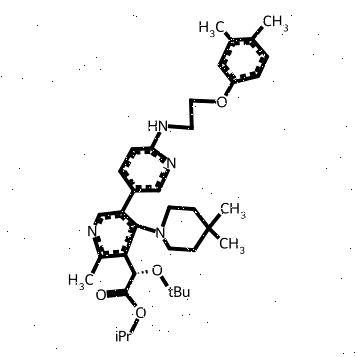 Cc1ccc(OCCNc2ccc(-c3cnc(C)c([C@H](OC(C)(C)C)C(=O)OC(C)C)c3N3CCC(C)(C)CC3)cn2)cc1C